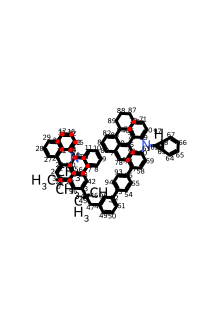 CC(C)(C)c1cc(-c2ccccc2N(c2ccccc2)c2ccccc2-c2cccc3cccc(C4CCCCC4)c23)cc(C(C)(C)Cc2cccc(-c3ccc(-c4ccc(N(C5=C6C=CC=C[C@@H]65)c5ccccc5-c5cccc6cccc(C7CCCCC7)c56)cc4)cc3)c2)c1